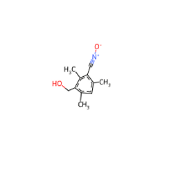 Cc1cc(C)c(CO)c(C)c1C#[N+][O-]